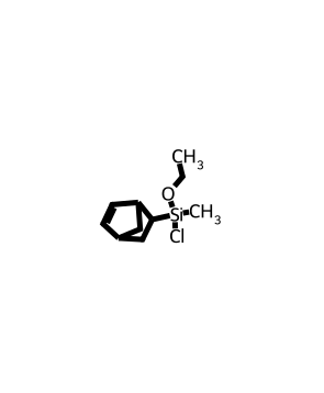 CCO[Si](C)(Cl)C1CC2C=CC1C2